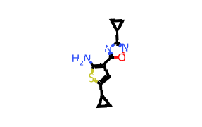 Nc1sc(C2CC2)cc1-c1nc(C2CC2)no1